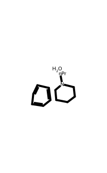 CCCN1CCCCC1.O.c1ccccc1